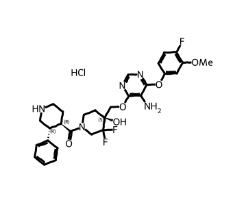 COc1cc(Oc2ncnc(OC[C@@]3(O)CCN(C(=O)[C@@H]4CCNC[C@H]4c4ccccc4)CC3(F)F)c2N)ccc1F.Cl